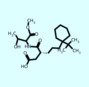 COC(=O)C(NC(=O)[C@H](CCCC1(C(C)(C)C)CCCCC1)CC(=O)O)C(C)O